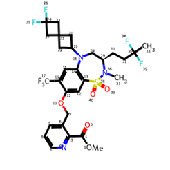 COC(=O)c1ncccc1COc1cc2c(cc1C(F)(F)F)N(C1CC3(C1)CC(F)(F)C3)C[C@@H](CCC(C)(F)F)N(C)S2(=O)=O